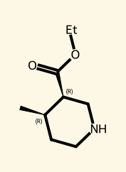 CCOC(=O)[C@H]1CNCC[C@H]1C